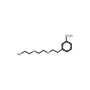 CCOC(=O)c1cccc(CCOCCOCCO)c1